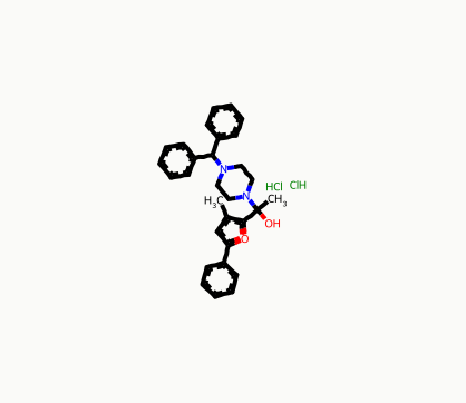 Cc1cc(-c2ccccc2)oc1C(C)(O)N1CCN(C(c2ccccc2)c2ccccc2)CC1.Cl.Cl